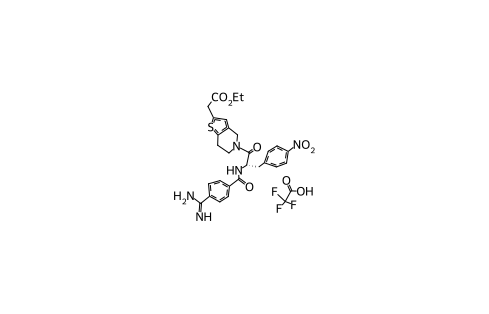 CCOC(=O)Cc1cc2c(s1)CCN(C(=O)[C@H](Cc1ccc([N+](=O)[O-])cc1)NC(=O)c1ccc(C(=N)N)cc1)C2.O=C(O)C(F)(F)F